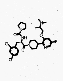 CN(C)[C@H](I)COc1cc(F)cnc1C1CCN(C(=O)[C@@H](Cc2ccc(Cl)cc2Cl)NC(=O)N2CCCC2)CC1